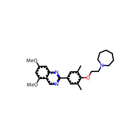 COc1cc(OC)c2cnc(-c3cc(C)c(OCCN4CCCCCC4)c(C)c3)nc2c1